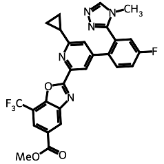 COC(=O)c1cc(C(F)(F)F)c2oc(-c3cc(-c4ccc(F)cc4-c4nncn4C)cc(C4CC4)n3)nc2c1